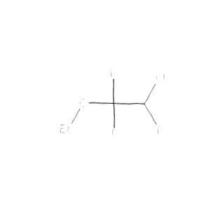 [CH2]COC(F)(F)C(F)Cl